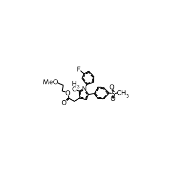 COCCOC(=O)Cc1cc(-c2ccc(S(C)(=O)=O)cc2)n(-c2cccc(F)c2)c1C